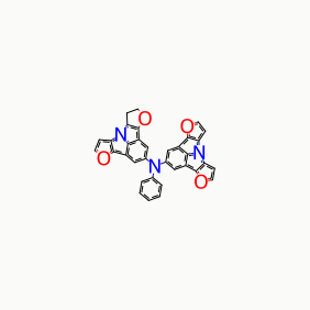 c1ccc(N(c2cc3c4c(n5c6ccoc6c(c2)c35)CCO4)c2cc3c4occc4n4c5ccoc5c(c2)c34)cc1